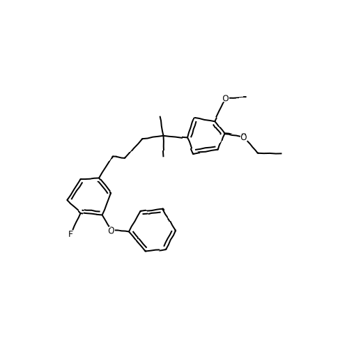 CCOc1ccc(C(C)(C)CCCc2ccc(F)c(Oc3ccccc3)c2)cc1OC